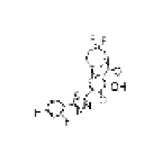 O=C1c2c(O)c(=O)c(-c3nnc(-c4ccc(F)cc4F)s3)cn2C2CCC(F)(F)CN1C2